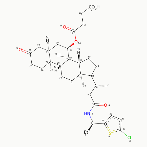 CC[C@@H](NC(=O)C[C@@H](C)C1CC[C@H]2[C@@H]3[C@H](OC(=O)CCC(=O)O)C[C@@H]4CC(=O)CC[C@]4(C)[C@H]3CC[C@]12C)c1ccc(Cl)s1